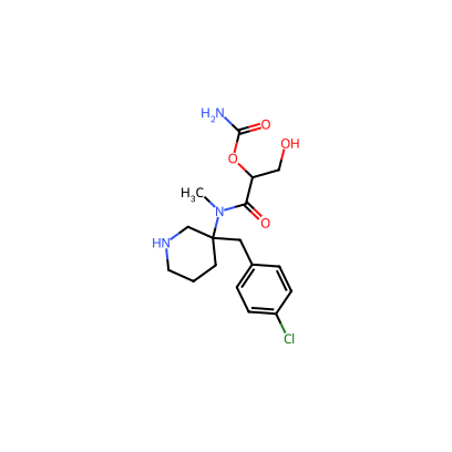 CN(C(=O)C(CO)OC(N)=O)C1(Cc2ccc(Cl)cc2)CCCNC1